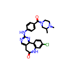 CC1CN(C(=O)c2ccc(Nc3ncc4c(n3)-c3ccc(Cl)cc3NC(=O)C4)cc2)CCN1C